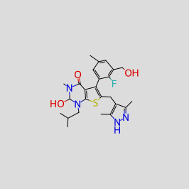 Cc1cc(CO)c(F)c(-c2c(Cc3c(C)n[nH]c3C)sc3c2C(=O)N(C)C(O)N3CC(C)C)c1